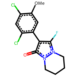 COc1cc(-c2c(F)n3n(c2=O)CCCC3)c(Cl)cc1Cl